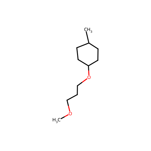 COCCCOC1CCC(C)CC1